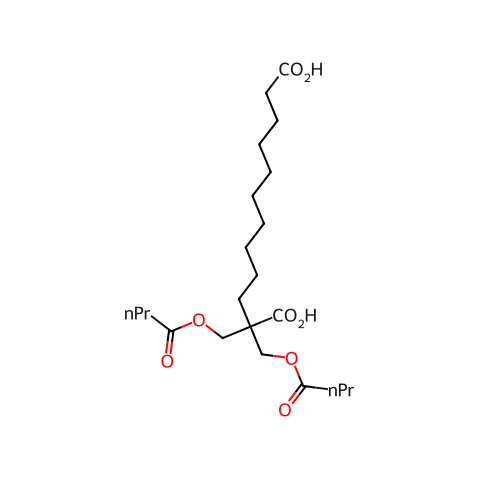 CCCC(=O)OCC(CCCCCCCCCC(=O)O)(COC(=O)CCC)C(=O)O